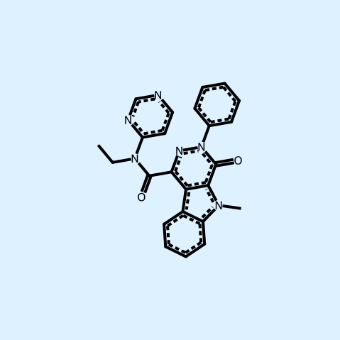 CCN(C(=O)c1nn(-c2ccccc2)c(=O)c2c1c1ccccc1n2C)c1ccncn1